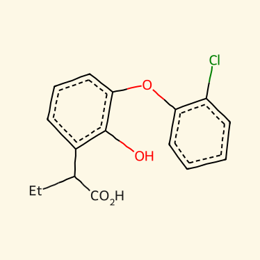 CCC(C(=O)O)c1cccc(Oc2ccccc2Cl)c1O